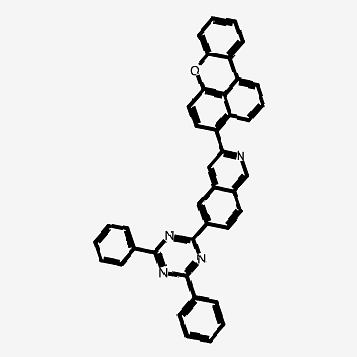 c1ccc(-c2nc(-c3ccccc3)nc(-c3ccc4cnc(-c5ccc6c7c(cccc57)-c5ccccc5O6)cc4c3)n2)cc1